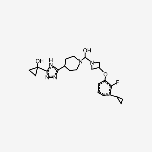 OC(N1CCC(c2nnc(C3(O)CC3)[nH]2)CC1)N1CC(Oc2cccc(C3CC3)c2F)C1